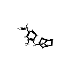 CN1C2CCC1CC(Oc1ccc([N+](=O)[O-])cc1Cl)C2